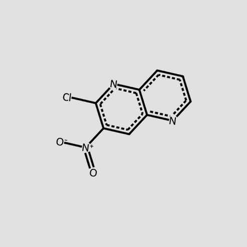 O=[N+]([O-])c1cc2ncccc2nc1Cl